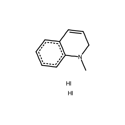 CN1CC=Cc2ccccc21.I.I